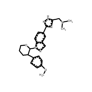 COc1ccc(C2CCCOC2n2ncc3cc(-c4n[nH]c(CN(C)C)n4)ccc32)cc1